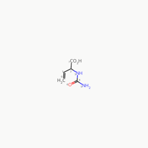 C=CC(NC(N)=O)C(=O)O